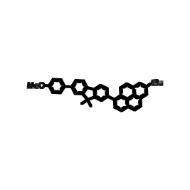 COc1ccc(-c2ccc3c(c2)C(C)(C)c2cc(-c4ccc5ccc6cc(C(C)(C)C)cc7ccc4c5c67)ccc2-3)cc1